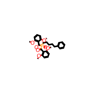 COc1cccc(OC)c1C(=O)P(=O)(CCCCCc1ccccc1)C(=O)c1c(OC)cccc1OC